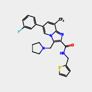 O=C(NCc1cccs1)c1nc2c(C(F)(F)F)cc(-c3cccc(F)c3)cn2c1CN1CCCC1